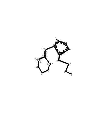 CCCCc1ccsc1N=C1NCCCN1